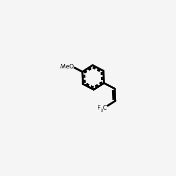 COc1ccc(/C=C\C(F)(F)F)cc1